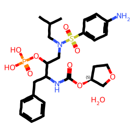 CC(C)CN(CC(OP(=O)(O)O)C(Cc1ccccc1)NC(=O)O[C@H]1CCOC1)S(=O)(=O)c1ccc(N)cc1.O